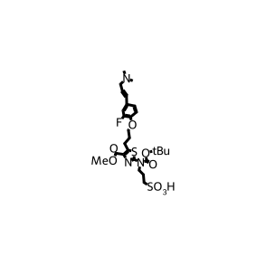 COC(=O)c1nc(N(CCCS(=O)(=O)O)C(=O)OC(C)(C)C)sc1CCCOc1ccc(C#CCN(C)C)cc1F